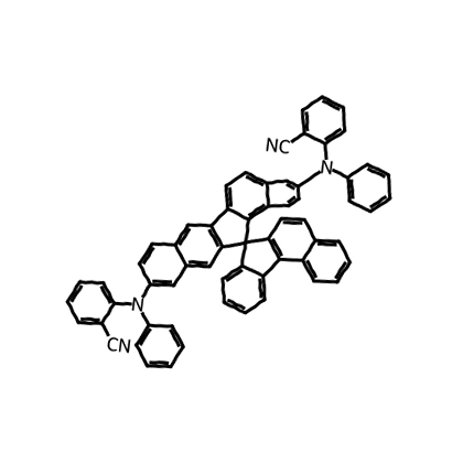 N#Cc1ccccc1N(c1ccccc1)c1ccc2cc3c(cc2c1)C1(c2ccccc2-c2c1ccc1ccccc21)c1c-3ccc2cc(N(c3ccccc3)c3ccccc3C#N)ccc12